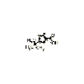 CC(C)(C)c1cc(C(=O)O)cs1